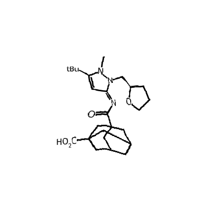 Cn1c(C(C)(C)C)c/c(=N\C(=O)C23CC4CC(CC(C(=O)O)(C4)C2)C3)n1C[C@H]1CCCO1